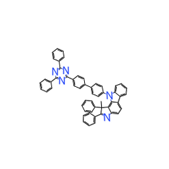 CC1(c2ccccc2)C(c2ccccc2)=Nc2ccc3c4ccccc4n(-c4ccc(-c5ccc(-c6nc(-c7ccccc7)nc(-c7ccccc7)n6)cc5)cc4)c3c21